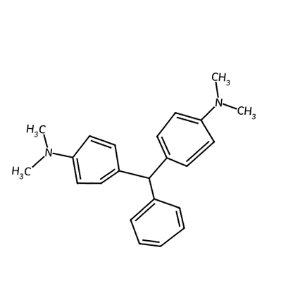 CN(C)c1ccc(C(c2ccccc2)c2ccc(N(C)C)cc2)cc1